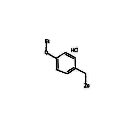 CCOc1ccc([CH2][Zn])cc1.Cl